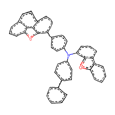 c1ccc(-c2ccc(N(c3ccc(-c4ccc5ccc6cccc7oc4c5c67)cc3)c3cccc4c3oc3ccccc34)cc2)cc1